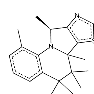 Cc1cccc2c1N1[C@@H](C)c3ncsc3C1(C)C(C)(C)C2(C)C